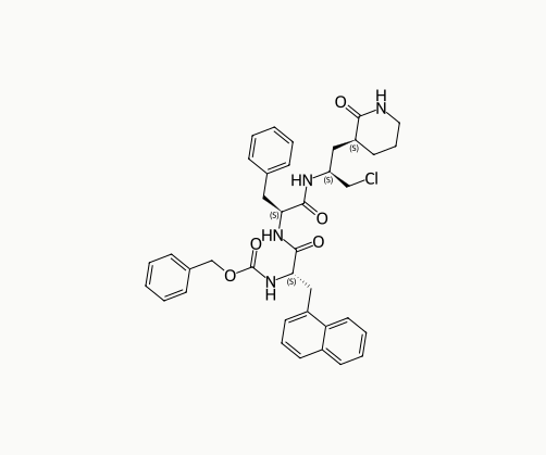 O=C(N[C@@H](Cc1cccc2ccccc12)C(=O)N[C@@H](Cc1ccccc1)C(=O)N[C@H](CCl)C[C@@H]1CCCNC1=O)OCc1ccccc1